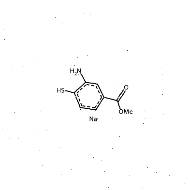 COC(=O)c1ccc(S)c(N)c1.[Na]